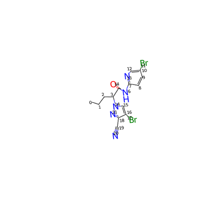 CCCC(C(=O)Nc1ccc(Br)cn1)n1cc(Br)c(C#N)n1